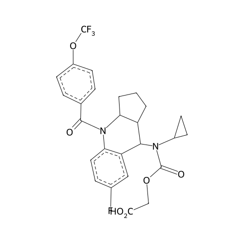 O=C(O)COC(=O)N(C1CC1)C1c2cc(F)ccc2N(C(=O)c2ccc(OC(F)(F)F)cc2)C2CCCC21